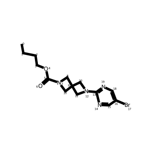 CCCCOC(=O)N1CC2(C1)CN(c1ncc(Br)cn1)C2